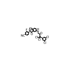 CN(C(=O)c1cc(NCC(=O)C2C(c3cc(Cl)cc(Cl)c3)C2(Cl)Cl)ccc1Cl)c1ccc(C#N)cc1F